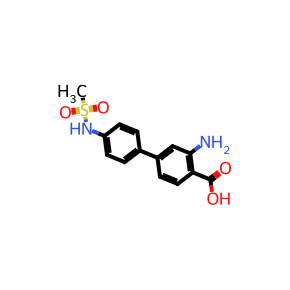 CS(=O)(=O)Nc1ccc(-c2ccc(C(=O)O)c(N)c2)cc1